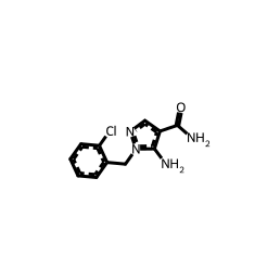 NC(=O)c1cnn(Cc2ccccc2Cl)c1N